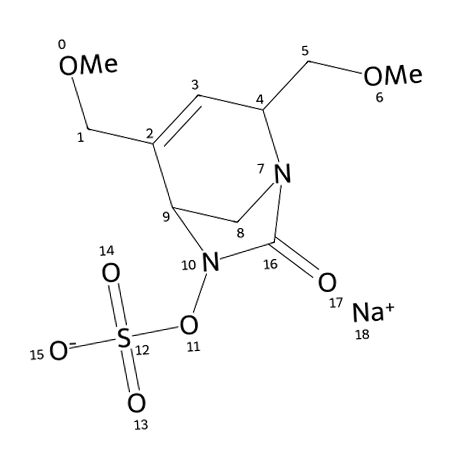 COCC1=CC(COC)N2CC1N(OS(=O)(=O)[O-])C2=O.[Na+]